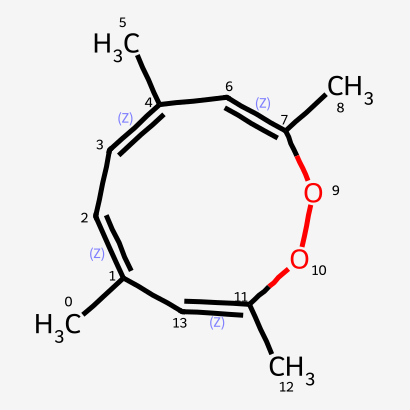 CC1=C/C=C(C)\C=C(\C)OO/C(C)=C\1